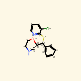 Clc1cccnc1S[C@@H](c1ccccc1)[C@@H]1CNCCO1